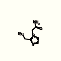 CC(C)(C)Cc1nccn1CC(N)=O